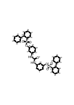 O=C(Nc1cccc(OS(=O)(=O)c2ccccc2-c2ccccc2)c1)Nc1cccc(OS(=O)(=O)c2ccccc2-c2ccccc2)c1